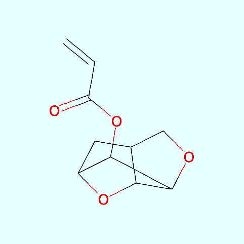 C=CC(=O)OC1C2CC3COC1C3O2